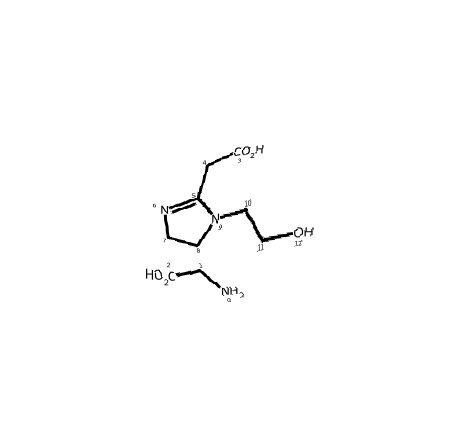 NCC(=O)O.O=C(O)CC1=NCCN1CCO